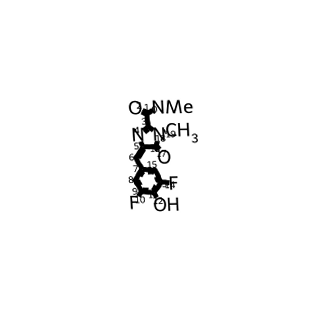 CNC(=O)C1=NC(=Cc2cc(F)c(O)c(F)c2)C(=O)N1C